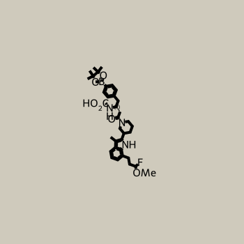 COC(F)CCc1cccc2c(C)c(C3CCCN(C(=O)C[C@@H](Cc4ccc(B5OC(C)(C)C(C)(C)O5)cc4)NC(=O)O)C3)[nH]c12